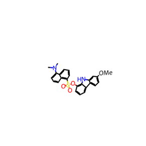 COc1ccc2c(c1)[nH]c1c(OS(=O)(=O)c3cccc4c(N(C)C)cccc34)cccc12